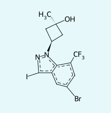 C[C@]1(O)C[C@@H](n2nc(I)c3cc(Br)cc(C(F)(F)F)c32)C1